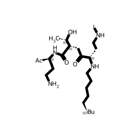 CC[C@H](C)CCCCCN[C@@H](CCNI)C(=O)C[C@H](C(=O)N[C@@H](CCN)C(C)=O)[C@H](C)O